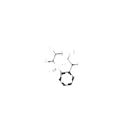 CCC(C)c1ccccc1S(=O)(=O)C(F)C(F)F